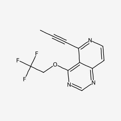 CC#Cc1nccc2ncnc(OCC(F)(F)F)c12